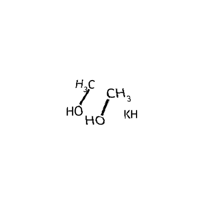 CO.CO.[KH]